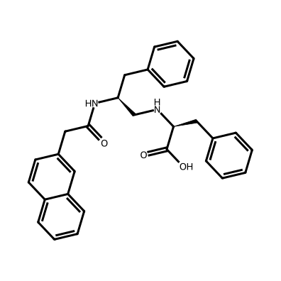 O=C(Cc1ccc2ccccc2c1)N[C@H](CN[C@@H](Cc1ccccc1)C(=O)O)Cc1ccccc1